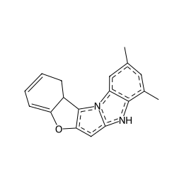 Cc1cc(C)c2[nH]c3cc4c(n3c2c1)C1CC=CC=C1O4